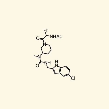 CCC(NC(C)=O)C(=O)N1CCC[C@@H](N(C)C(=O)NCc2cc3cc(Cl)ccc3[nH]2)C1